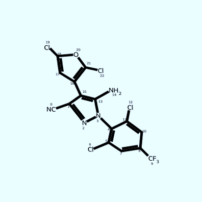 N#Cc1nn(-c2c(Cl)cc(C(F)(F)F)cc2Cl)c(N)c1-c1cc(Cl)oc1Cl